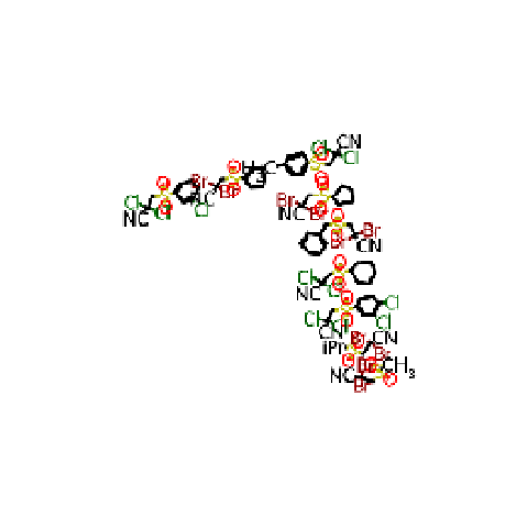 CC(C)S(=O)(=O)CC(Br)(Br)C#N.CS(=O)(=O)CC(Br)(Br)C#N.Cc1ccc(S(=O)(=O)CC(Cl)(Cl)C#N)cc1.N#CC(Br)(Br)CS(=O)(=O)C1CCCC1.N#CC(Br)(Br)CS(=O)(=O)Cc1ccccc1.N#CC(Br)(Br)CS(=O)(=O)c1ccccc1.N#CC(Cl)(Cl)CS(=O)(=O)C1CCCCC1.N#CC(Cl)(Cl)CS(=O)(=O)c1ccc(Cl)c(Cl)c1.N#CC(Cl)(Cl)CS(=O)(=O)c1cccc(Cl)c1